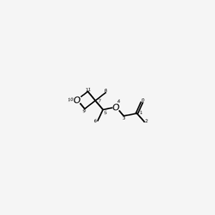 C=C(C)COC(C)C1(C)COC1